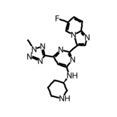 Cn1nnc(-c2cc(N[C@@H]3CCCNC3)nc(-c3cnc4ccc(F)cn34)n2)n1